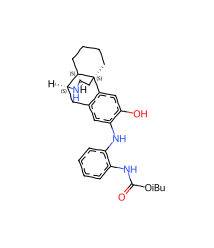 CC(C)COC(=O)Nc1ccccc1Nc1cc2c(cc1O)[C@]13CCCC[C@@H]1[C@H](C2)NCC3